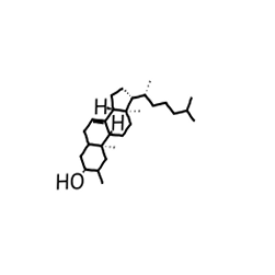 CC(C)CCC[C@@H](C)[C@H]1CC[C@H]2C3=CCC4C[C@@H](O)C(C)C[C@]4(C)[C@H]3CC[C@]12C